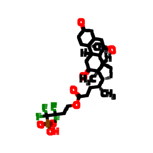 C[C@H](CCC(=O)OCCC(F)(F)C(F)(F)S(=O)(=O)O)[C@H]1CC[C@H]2C3C(=O)CC4CC(=O)CC[C@]4(C)[C@H]3CC(=O)[C@]12C